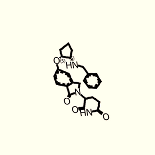 O=C1CCC(N2Cc3cc(O[C@H]4CCC[C@@H]4NCc4ccccc4)ccc3C2=O)C(=O)N1